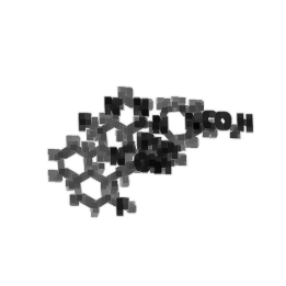 CC(C)[Si](C#Cc1c(F)ccc2cccc(-c3nc4c5c(ncnc5c3F)N3CC5CCC(C3CCO4)N5C(=O)O)c12)(C(C)C)C(C)C